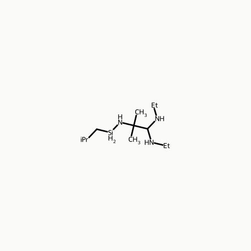 CCNC(NCC)C(C)(C)N[SiH2]CC(C)C